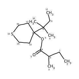 CCC(C)C(=O)OC1(C(C)(C)CC)CCSCC1